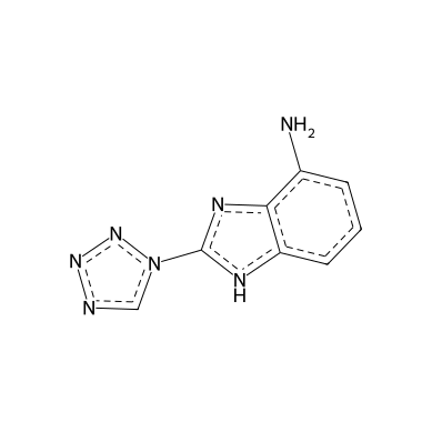 Nc1cccc2[nH]c(-n3cnnn3)nc12